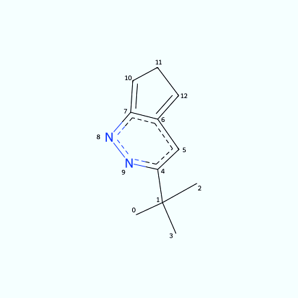 CC(C)(C)c1cc2c(nn1)=CCC=2